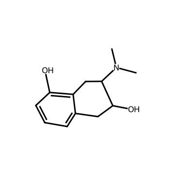 CN(C)C1Cc2c(O)cccc2CC1O